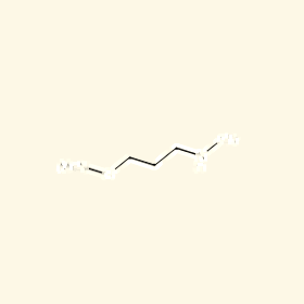 CCCNCCCONC